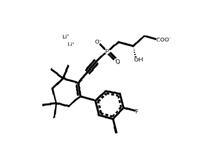 Cc1cc(C2=C(C#CP(=O)([O-])C[C@@H](O)CC(=O)[O-])C(C)(C)CC(C)(C)C2)ccc1F.[Li+].[Li+]